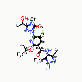 CCn1c(C(C)O)nn(-c2nc(OC(C)C(F)(F)F)c(C(=O)Nc3c(C)n[nH]c3C(F)(F)F)cc2F)c1=O